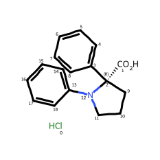 Cl.O=C(O)[C@]1(c2ccccc2)CCCN1c1ccccc1